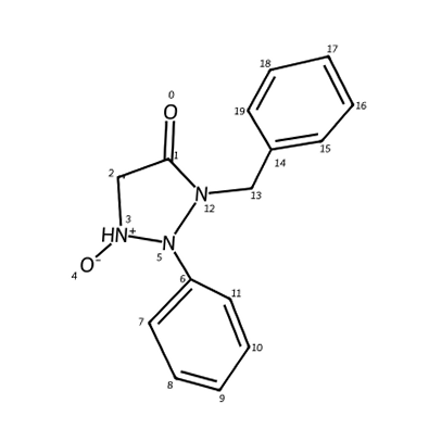 O=C1[CH][NH+]([O-])N(c2ccccc2)N1Cc1ccccc1